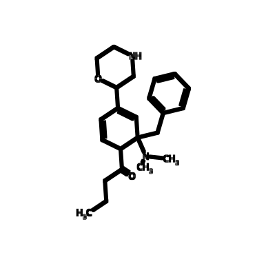 CCCC(=O)C1C=CC(C2CNCCO2)=CC1(Cc1ccccc1)N(C)C